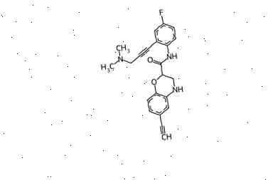 C#Cc1ccc2c(c1)NCC(C(=O)Nc1ccc(F)cc1C#CCN(C)C)O2